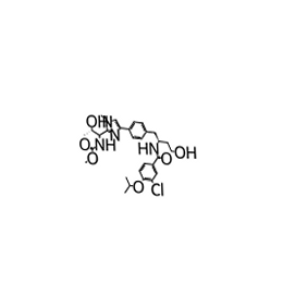 COC(=O)N[C@H](c1nc(-c2ccc(C[C@@H](CCO)NC(=O)c3ccc(OC(C)C)c(Cl)c3)cc2)cn1C)[C@H](C)O